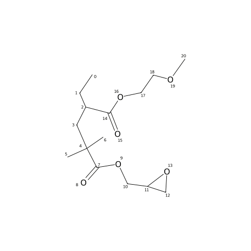 CCC(CC(C)(C)C(=O)OCC1CO1)C(=O)OCCOC